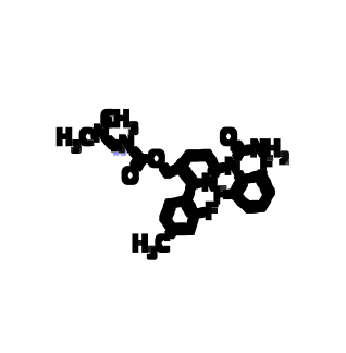 Cc1ccc(-c2nc(N(C(N)=O)c3c(F)cccc3F)ccc2COC(=O)/N=C/N(C)C)c(F)c1